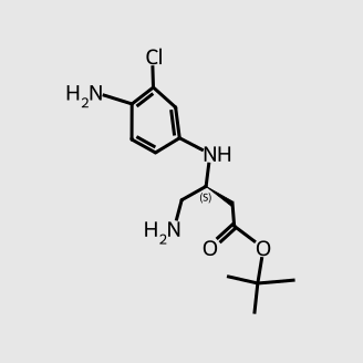 CC(C)(C)OC(=O)C[C@@H](CN)Nc1ccc(N)c(Cl)c1